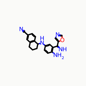 N#Cc1ccc2c(c1)CCCC2Nc1ccc(N)c(C(=N)c2cnco2)c1